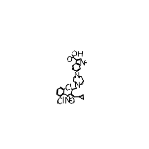 Cn1cc(C(=O)O)c2ccc(N3CCCN(CCc4c(-c5c(Cl)cccc5Cl)noc4C4CC4)CC3)cc21